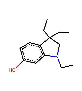 CCN1CC(CC)(CC)c2ccc(O)cc21